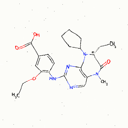 CCOc1cc(C(=O)O)ccc1Nc1ncc2c(n1)N(C1CCCC1)[C@H](CC)C(=O)N2C